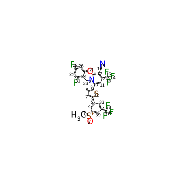 C[S+]([O-])c1cc(-c2ccc(-c3cc(C(F)(F)F)c(C#N)c(=O)n3Cc3ccc(F)cc3F)s2)cc(C(F)(F)F)c1